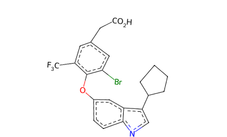 O=C(O)Cc1cc(Br)c(Oc2ccc3[nH]cc(C4CCCC4)c3c2)c(C(F)(F)F)c1